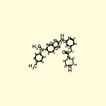 Cc1ccc(N(C)c2ccc3nc(Nc4cc(CC(=O)N5CCNCC5)ccn4)sc3n2)cc1